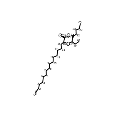 CCCCCCCCCCCCCCCCC(OC(CC)CCCCC)C(=O)O